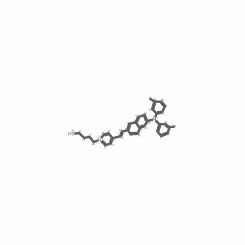 Cc1cccc(N(c2cccc(C)c2)c2ccc3cc(/C=C/c4cc[n+](CCCCS)cc4)ccc3c2)c1